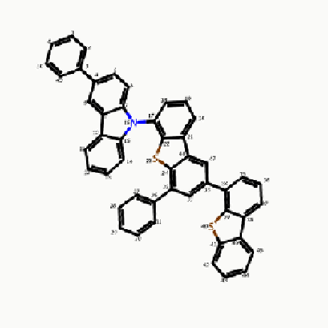 c1ccc(-c2ccc3c(c2)c2ccccc2n3-c2cccc3c2sc2c(-c4ccccc4)cc(-c4cccc5c4sc4ccccc45)cc23)cc1